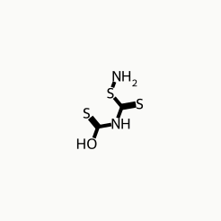 NSC(=S)NC(O)=S